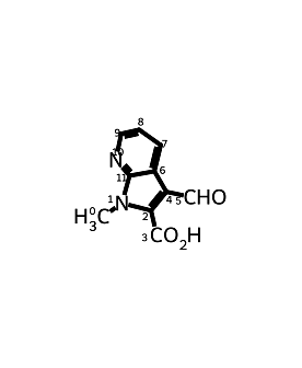 Cn1c(C(=O)O)c(C=O)c2cccnc21